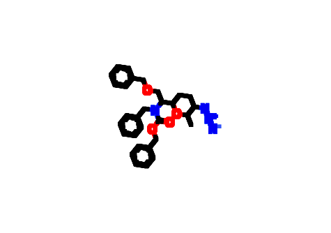 CC1OC(C(COCc2ccccc2)N(Cc2ccccc2)C(=O)OCc2ccccc2)CCC1N=[N+]=[N-]